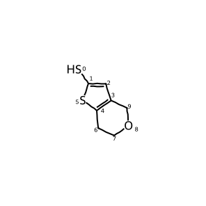 Sc1cc2c(s1)CCOC2